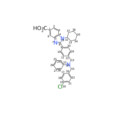 O=C(O)c1ccc2c(c1)nc(-c1ccc(CN(Cc3ccc(Cl)cc3)c3ccccc3)cc1)n2C1CCCCC1